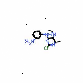 C/C=N\c1c(C)nc(Cl)nc1Nc1cccc(N)c1